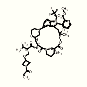 C=CC(=O)N1CC(OC[C@H](C(=O)N[C@H]2C[C@H]3CN(CCO3)c3ccc4c(c3)c(c(-c3cccnc3[C@H](C)OC)n4CC(F)(F)F)CC(C)(C)COC(=O)[C@@]3([SiH3])CCCN(N3)C2=O)C(C)C)C1